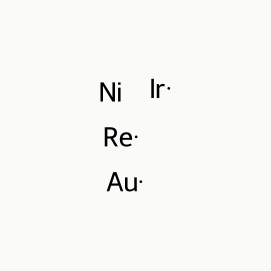 [Au].[Ir].[Ni].[Re]